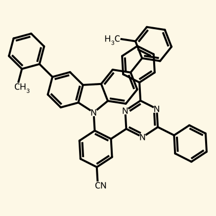 Cc1ccccc1-c1ccc2c(c1)c1cc(-c3ccccc3C)ccc1n2-c1ccc(C#N)cc1-c1nc(-c2ccccc2)nc(-c2ccccc2)n1